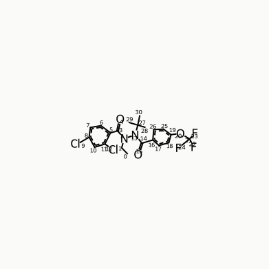 CCN(C(=O)c1ccc(Cl)cc1Cl)N(C(=O)c1ccc(OC(F)(F)F)cc1)C(C)(C)C